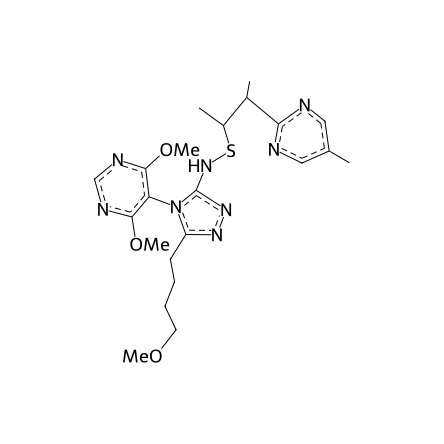 COCCCCc1nnc(NSC(C)C(C)c2ncc(C)cn2)n1-c1c(OC)ncnc1OC